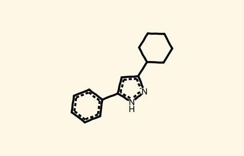 c1ccc(-c2cc(C3CCCCC3)n[nH]2)cc1